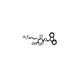 C=CCCC[C@@H](NC(=O)OCC1c2ccccc2-c2ccccc21)C(=O)N=O